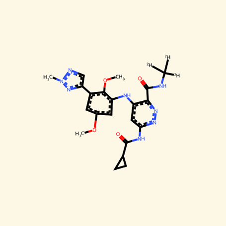 [2H]C([2H])([2H])NC(=O)c1nnc(NC(=O)C2CC2)cc1Nc1cc(OC)cc(-c2cnn(C)n2)c1OC